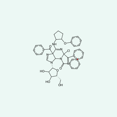 O=C(c1ccccc1)N1C2N([C@@H]3O[C@H](CO)C(O)C3O)C=NC2(C(=O)c2ccccc2)C(NC2CCCC2Oc2ccccc2)=NC1(Cl)C(=O)c1ccccc1